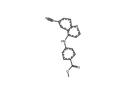 COC(=O)c1ccc(Nc2ccnc3ccc(C#N)cc23)cc1